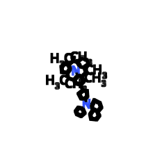 CC1(C)C2=CCCC3=C2N2c4c1cc(-c1ccc(N(c5ccccc5)c5cccc6ccccc56)cc1)cc4C(C)(C)c1cccc(c12)C3(C)C